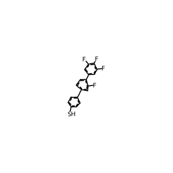 Fc1cc(-c2ccc(S)cc2)ccc1-c1cc(F)c(F)c(F)c1